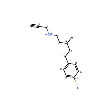 C#CCNCCC(C)CCc1ccc(F)cc1